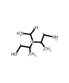 CCC(N)N(C(C)CO)C(C)CO